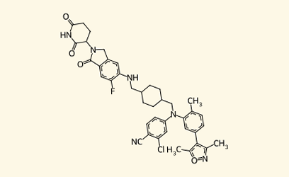 Cc1ccc(-c2c(C)noc2C)cc1N(CC1CCC(CNc2cc3c(cc2F)C(=O)N(C2CCC(=O)NC2=O)C3)CC1)c1ccc(C#N)c(Cl)c1